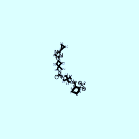 CS(=O)(=O)c1ccccc1CN1CC2(C1)CN(C(=O)N1CC3(CC(n4cnc(C5CC5)n4)C3)C1)C2